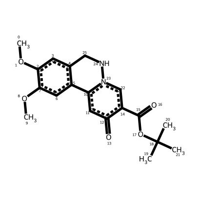 COc1cc2c(cc1OC)-c1cc(=O)c(C(=O)OC(C)(C)C)cn1NC2